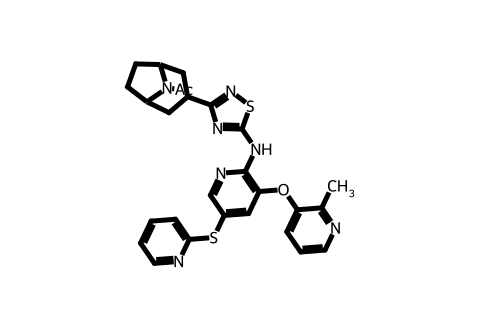 CC(=O)N1C2CCC1CC(c1nsc(Nc3ncc(Sc4ccccn4)cc3Oc3cccnc3C)n1)C2